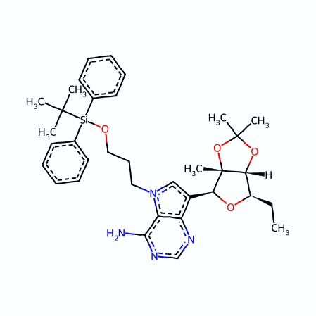 CC[C@H]1O[C@@H](c2cn(CCCO[Si](c3ccccc3)(c3ccccc3)C(C)(C)C)c3c(N)ncnc23)[C@]2(C)OC(C)(C)O[C@H]12